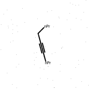 [CH2]CCC#CCCCC